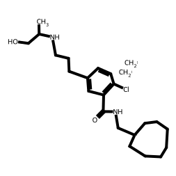 CC(CO)NCCCc1ccc(Cl)c(C(=O)NC[C]2CCCCCCC2)c1.[CH2].[CH2]